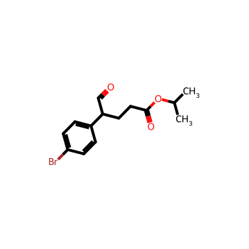 CC(C)OC(=O)CCC(C=O)c1ccc(Br)cc1